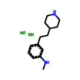 CNc1cccc(CCC2CCNCC2)c1.Cl.Cl